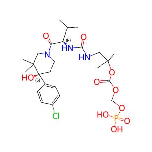 CC(C)[C@@H](NC(=O)NCC(C)(C)OC(=O)OCOP(=O)(O)O)C(=O)N1CC[C@](O)(c2ccc(Cl)cc2)C(C)(C)C1